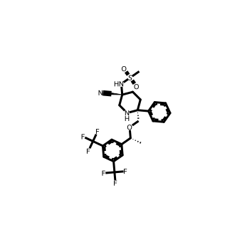 C[C@@H](OC[C@@]1(c2ccccc2)CC[C@@](C#N)(NS(C)(=O)=O)CN1)c1cc(C(F)(F)F)cc(C(F)(F)F)c1